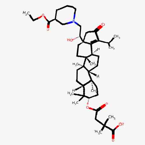 CCOC(=O)C1CCCN(C[C@@H](O)[C@@]23CC[C@]4(C)[C@H](CC[C@@H]5[C@@]6(C)CC[C@H](OC(=O)CC(C)(C)C(=O)O)C(C)(C)[C@@H]6CC[C@]54C)C2=C(C(C)C)C(=O)C3)C1